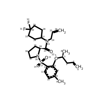 C=CC[C@H](C)Oc1cc(C)ccc1S(=O)(=O)N1CCC[C@H]1C(=O)N(CC=C)C1CCC(F)(F)CC1